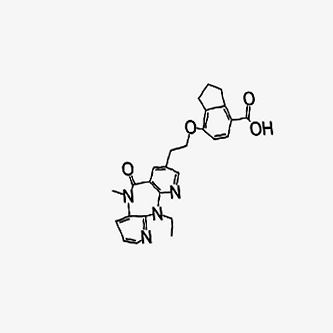 CCN1c2ncc(CCOc3ccc(C(=O)O)c4c3CCC4)cc2C(=O)N(C)c2cccnc21